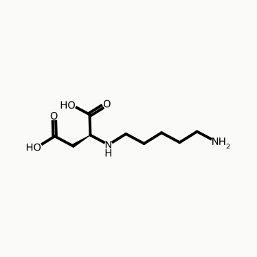 NCCCCCN[C@@H](CC(=O)O)C(=O)O